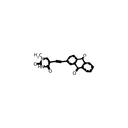 Cn1cc(C#Cc2ccc3c(c2)C(=O)c2ccccc2C3=O)c(=O)[nH]c1=O